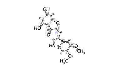 COc1cc2[nH]cc(/C=C3/Oc4cc(O)cc(O)c4C3=O)c2cc1OC